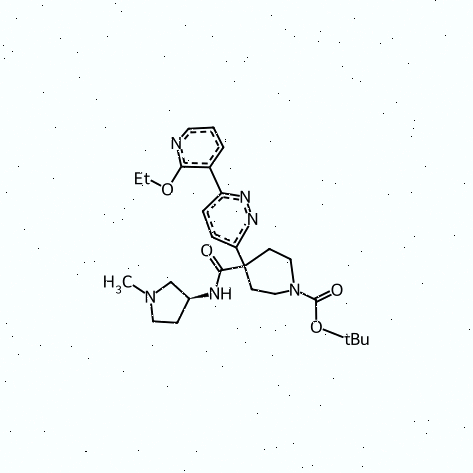 CCOc1ncccc1-c1ccc(C2(C(=O)N[C@H]3CCN(C)C3)CCN(C(=O)OC(C)(C)C)CC2)nn1